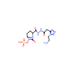 NCCn1nnnc1CC(=O)NNC(=O)C1CCC2CN1C(=O)N2OS(=O)(=O)O